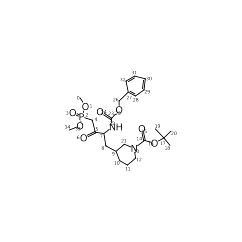 COP(=O)(CC(=O)C(CC1CCCN(C(=O)OC(C)(C)C)C1)NC(=O)OCc1ccccc1)OC